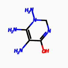 NC1=C(N)N(N)CN=C1O